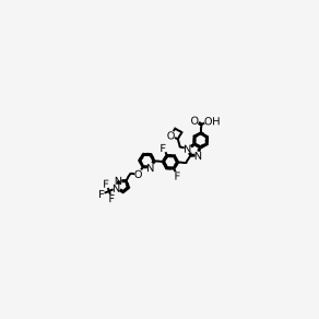 O=C(O)c1ccc2nc(Cc3cc(F)c(-c4cccc(OCc5ccn(C(F)(F)F)n5)n4)cc3F)n(CC3CCO3)c2c1